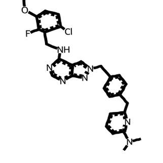 COc1ccc(Cl)c(CNc2ncnc3nn(Cc4ccc(Cc5cccc(N(C)C)n5)cc4)cc23)c1F